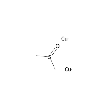 CS(C)=O.[Cu].[Cu]